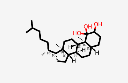 CC(C)CCC[C@@H](C)[C@H]1CC[C@H]2[C@@H]3CC[C@H]4CCC(O)C(O)(O)[C@]4(C)[C@H]3CC[C@]12C